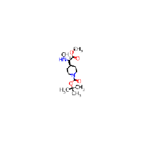 CNC(C(=O)OC)=C1CCN(C(=O)OC(C)(C)C)CC1